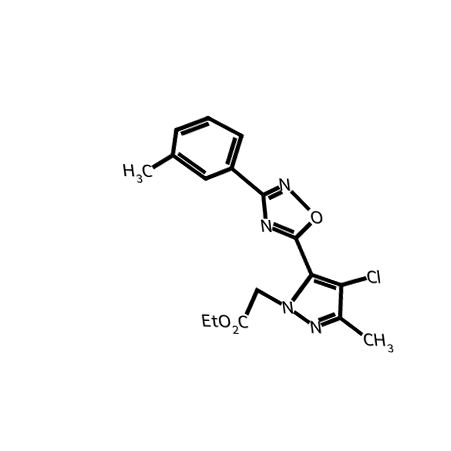 CCOC(=O)Cn1nc(C)c(Cl)c1-c1nc(-c2cccc(C)c2)no1